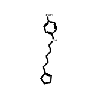 O=Cc1ccc(NCCCCCC2=CCCC2)cc1